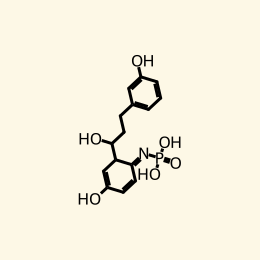 O=P(O)(O)N=C1C=CC(O)=CC1C(O)CCc1cccc(O)c1